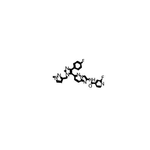 Cn1ccc(Cn2cnc(-c3ccc(F)cc3)c2-c2ccc3nc(NC(=O)c4ccnc(F)c4)cn3n2)n1